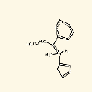 C[Si](c1ccccc1)=[Ti]([CH3])([CH3])[C]1=CC=CC1.Cl.Cl